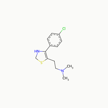 CN(C)CCC1=C(c2ccc(Cl)cc2)NCS1